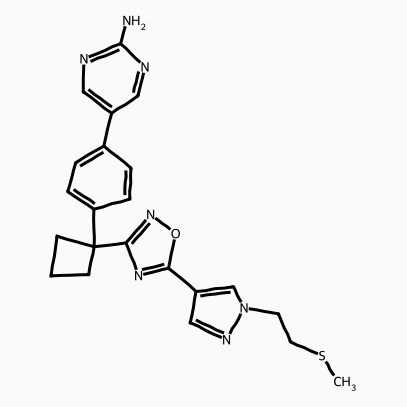 CSCCn1cc(-c2nc(C3(c4ccc(-c5cnc(N)nc5)cc4)CCC3)no2)cn1